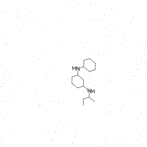 CCC(C)NC1CCCC(NC2CCCCC2)C1